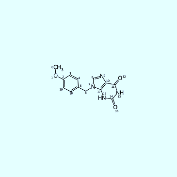 COc1ccc(Cn2cnc3c(=O)[nH]c(=O)[nH]c32)cc1